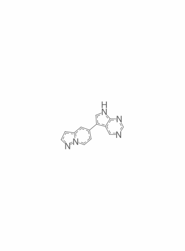 c1ncc2c(-c3ccn4nccc4c3)c[nH]c2n1